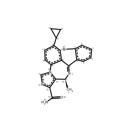 C[C@@H]1N=C(c2ccccc2Br)c2cc(C3CC3)ccc2-n2cnc(C(N)=O)c21